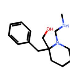 CNCN1CCCCC1(CO)Cc1ccccc1